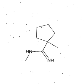 CNC(=N)C1(C)CCCC1